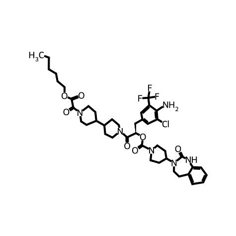 CCCCCCOC(=O)C(=O)N1CCC(C2CCN(C(=O)[C@@H](Cc3cc(Cl)c(N)c(C(F)(F)F)c3)OC(=O)N3CCC(N4CCc5ccccc5NC4=O)CC3)CC2)CC1